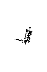 [CH2]CCCOC(F)(F)C(F)C(F)(F)C(F)(F)C(F)(F)C(F)(F)F